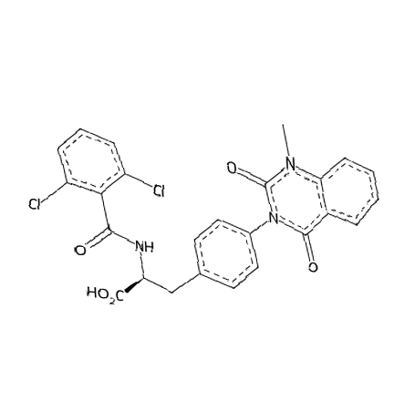 Cn1c(=O)n(-c2ccc(C[C@H](NC(=O)c3c(Cl)cccc3Cl)C(=O)O)cc2)c(=O)c2ccccc21